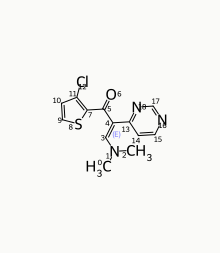 CN(C)/C=C(/C(=O)c1sccc1Cl)c1ccncn1